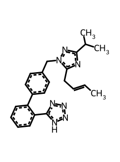 C/C=C/Cc1nc(C(C)C)nn1Cc1ccc(-c2ccccc2-c2nnn[nH]2)cc1